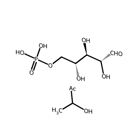 CC(=O)C(C)O.O=C[C@H](O)[C@H](O)[C@H](O)COP(=O)(O)O